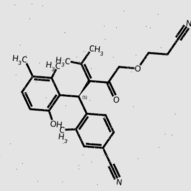 CC(C)=C(C(=O)COCCC#N)[C@@H](c1ccc(C#N)cc1C)c1c(O)ccc(C)c1C